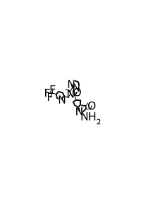 CC(c1ncccn1)N(Cc1ccc(C(F)(F)F)cn1)C(=O)c1ccc2nc(N)c3c(c2c1)COC3